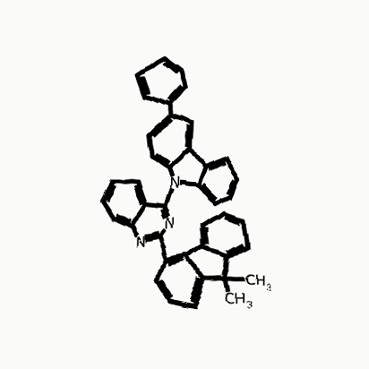 CC1(C)c2ccccc2-c2c(-c3nc(-n4c5ccccc5c5cc(-c6ccccc6)ccc54)c4ccccc4n3)cccc21